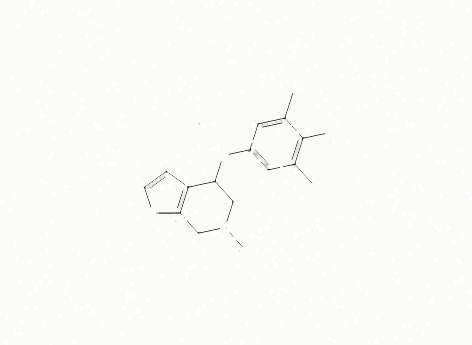 Cc1cc(OC2CN(C)Cc3occc32)cc(C)c1Cl.Cl